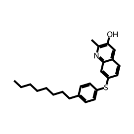 CCCCCCCCc1ccc(Sc2ccc3cc(O)c(C)nc3c2)cc1